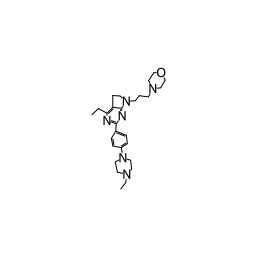 CCc1nc(-c2ccc(N3CCN(CC)CC3)cc2)nc2c1CCN2CCCN1CCOCC1